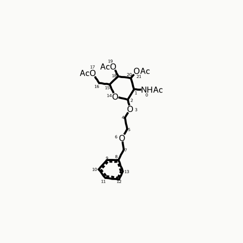 CC(=O)NC1C(OCCOCc2ccccc2)OC(COC(C)=O)C(OC(C)=O)C1OC(C)=O